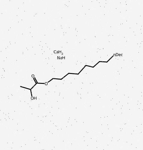 CCCCCCCCCCCCCCCCCCOC(=O)C(C)O.[CaH2].[NaH]